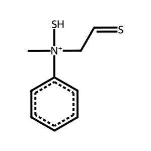 C[N+](S)(CC=S)c1ccccc1